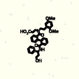 COc1ccc(OC)c(CCN(CCC(=O)O)C(=O)c2ccccc2-c2ccccc2C(=O)NC(CCO)c2ccccc2)c1